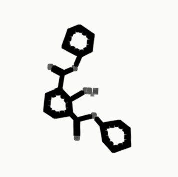 O=C(Oc1ccccc1)c1cccc(C(=O)Oc2ccccc2)c1C(=O)O